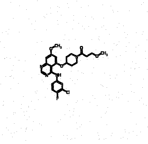 COCCC(=O)N1CCC(Oc2cc(OC)cc3ncnc(Nc4ccc(F)c(Cl)c4)c23)CC1